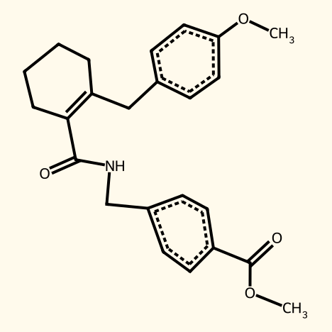 COC(=O)c1ccc(CNC(=O)C2=C(Cc3ccc(OC)cc3)CCCC2)cc1